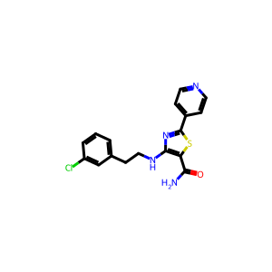 NC(=O)c1sc(-c2ccncc2)nc1NCCc1cccc(Cl)c1